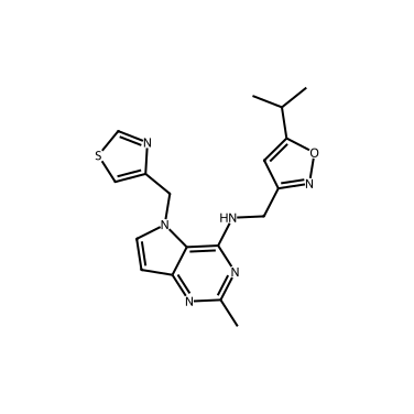 Cc1nc(NCc2cc(C(C)C)on2)c2c(ccn2Cc2cscn2)n1